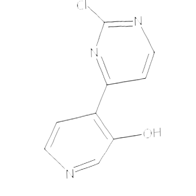 Oc1cnccc1-c1ccnc(Cl)n1